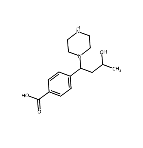 CC(O)CC(c1ccc(C(=O)O)cc1)N1CCNCC1